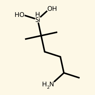 CC(N)CCC(C)(C)[SiH](O)O